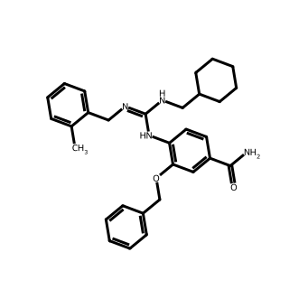 Cc1ccccc1CN=C(NCC1CCCCC1)Nc1ccc(C(N)=O)cc1OCc1ccccc1